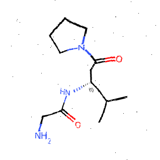 CC(C)[C@H](NC(=O)CN)C(=O)N1CCCC1